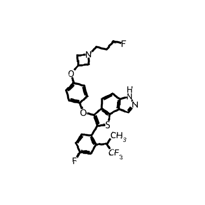 CC(c1cc(F)ccc1-c1sc2c(ccc3[nH]ncc32)c1Oc1ccc(OC2CN(CCCF)C2)cc1)C(F)(F)F